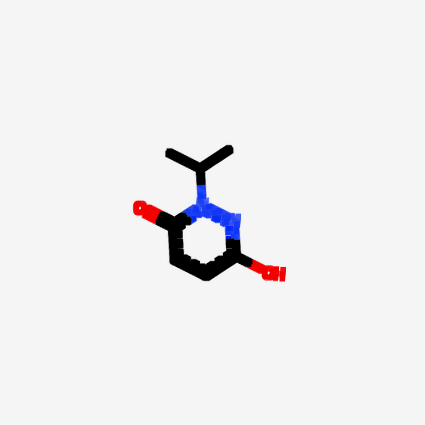 CC(C)n1nc(O)ccc1=O